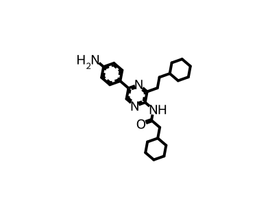 Nc1ccc(-c2cnc(NC(=O)CC3CCCCC3)c(CCC3CCCCC3)n2)cc1